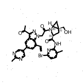 C=Cc1cc(-c2cnc(C)nc2)cc2c(C(C)=O)nn(CC(=O)N3[C@H](C(=O)Nc4nc(Br)ccc4C)C[C@@]4(CO)C[C@@H]34)c12